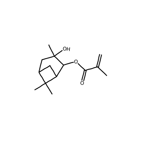 C=C(C)C(=O)OC1C2CC(CC1(C)O)C2(C)C